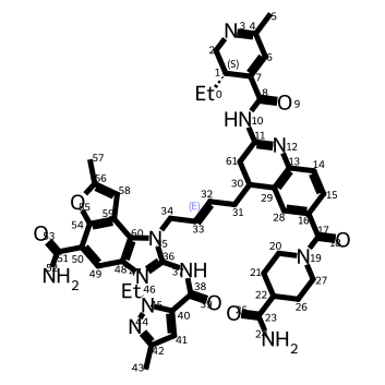 CC[C@@H]1CN=C(C)C=C1C(=O)NC1=Nc2ccc(C(=O)N3CCC(C(N)=O)CC3)cc2C(C/C=C/Cn2c(NC(=O)c3cc(C)nn3CC)nc3cc(C(N)=O)c4oc(C)cc4c32)C1